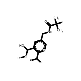 CCOC(O)c1cc(CNC(=O)C(C)(C)F)cnc1C(F)F